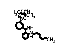 CC/C=C\C=C/CNc1ccccc1C(=N)C1=CC=CCC(B2OC(C)(C)C(C)(C)O2)=C1